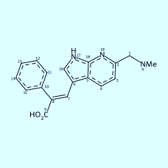 CNCc1ccc2c(/C=C(/C(=O)O)c3ccccc3)c[nH]c2n1